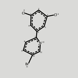 Clc1cc(Cl)cc(-c2ccc(Br)cn2)c1